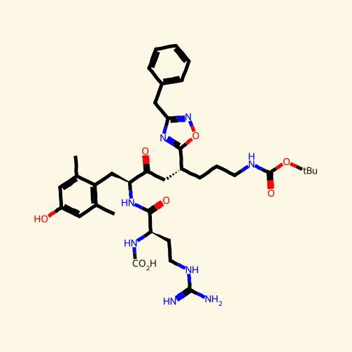 Cc1cc(O)cc(C)c1C[C@H](NC(=O)[C@@H](CCNC(=N)N)NC(=O)O)C(=O)C[C@@H](CCCNC(=O)OC(C)(C)C)c1nc(Cc2ccccc2)no1